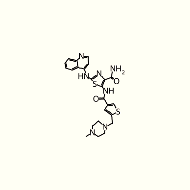 CN1CCN(Cc2cc(C(=O)Nc3sc(Nc4ccnc5ccccc45)nc3C(N)=O)cs2)CC1